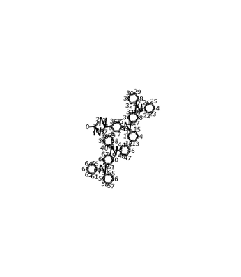 Cc1cnc(-c2ccc(N(c3ccccc3)c3ccc(N(c4ccccc4)c4ccccc4)cc3)cc2)c(-c2ccc(N(c3ccccc3)c3ccc(N(c4ccccc4)c4ccccc4)cc3)cc2)n1